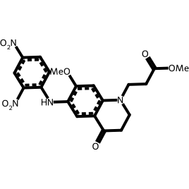 COC(=O)CCN1CCC(=O)c2cc(Nc3ccc([N+](=O)[O-])cc3[N+](=O)[O-])c(OC)cc21